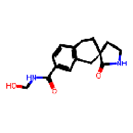 O=C(NCO)c1ccc2c(c1)C[C@]1(CCNC1=O)CC2